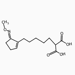 CON=C1CCC=C1CCCCCC(C(=O)O)C(=O)O